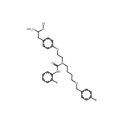 CCOC(Cc1ccc(OCCN(CCCCOCc2ccc(F)cc2)C(=O)Nc2ccccc2F)cc1)C(=O)O